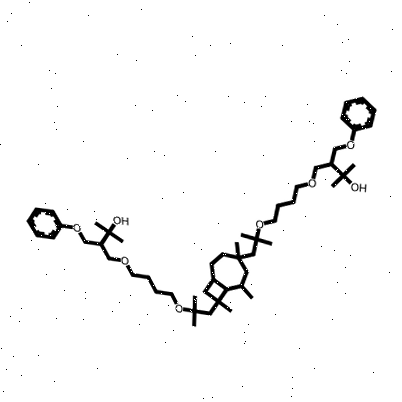 CC1CC(C)(CC(C)(C)OCCCCOCC(COc2ccccc2)C(C)(C)O)CCC2CC(C)(CC(C)(C)OCCCCOCC(COc3ccccc3)C(C)(C)O)C12